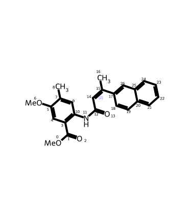 COC(=O)c1cc(OC)c(C)cc1NC(=O)/C=C(/C)c1ccc2ccccc2c1